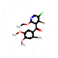 CCOc1ncc(Cl)c(Br)c1C(=O)c1cc(OC)c(OC)cc1C